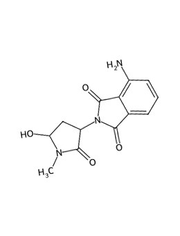 CN1C(=O)C(N2C(=O)c3cccc(N)c3C2=O)CC1O